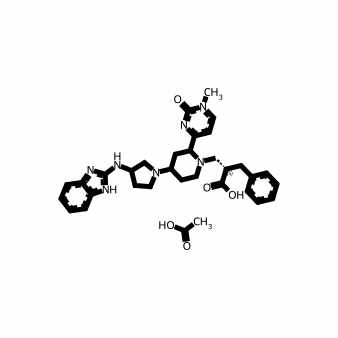 CC(=O)O.Cn1ccc(C2CC(N3CCC(Nc4nc5ccccc5[nH]4)C3)CCN2C[C@H](Cc2ccccc2)C(=O)O)nc1=O